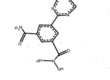 CCCN(CCC)C(=O)c1cc(C(N)=O)cc(-c2ncccn2)c1